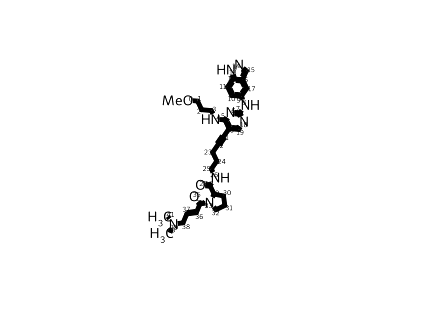 COCCCNc1nc(Nc2ccc3[nH]ncc3c2)ncc1C#CCCCNC(=O)C1CCCN1C(=O)C=CCN(C)C